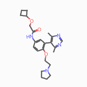 Cc1ncnc(C)c1-c1cc(NC(=O)COC2CCC2)ccc1OCCN1CCCC1